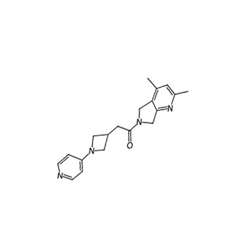 Cc1cc(C)c2c(n1)CN(C(=O)CC1CN(c3ccncc3)C1)C2